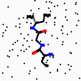 CC(C)C[C@H](N)C(=O)NCC(=O)N[C@@H](CC(=O)O)C(=O)O